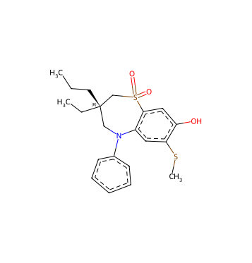 CCC[C@]1(CC)CN(c2ccccc2)c2cc(SC)c(O)cc2S(=O)(=O)C1